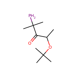 CC(OC(C)(C)C)C(=O)C(C)(C)P